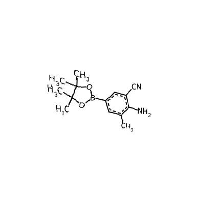 Cc1cc(B2OC(C)(C)C(C)(C)O2)cc(C#N)c1N